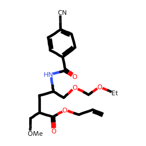 C=CCOC(=O)C(COC)CC(COCOCC)NC(=O)c1ccc(C#N)cc1